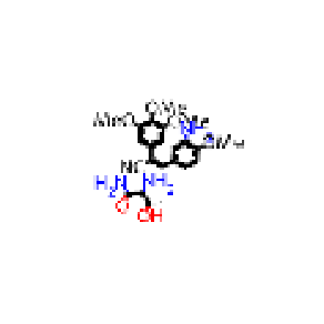 COc1ccc(C=C(C#N)c2cc(OC)c(OC)c(OC)c2)cc1N.C[C@@H](O)[C@H](N)C(N)=O